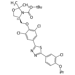 CC(C)Oc1ccc(-c2nnc(-c3cc(Cl)c(OC[C@H]4COC(C)(C)N4C(=O)OC(C)(C)C)c(Cl)c3)s2)cc1Cl